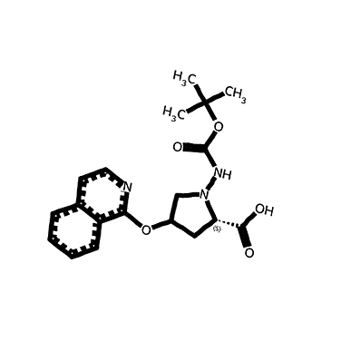 CC(C)(C)OC(=O)NN1CC(Oc2nccc3ccccc23)C[C@H]1C(=O)O